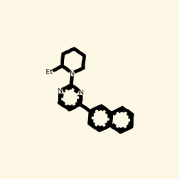 CCC1C[CH]CCN1c1nccc(-c2ccc3ccccc3c2)n1